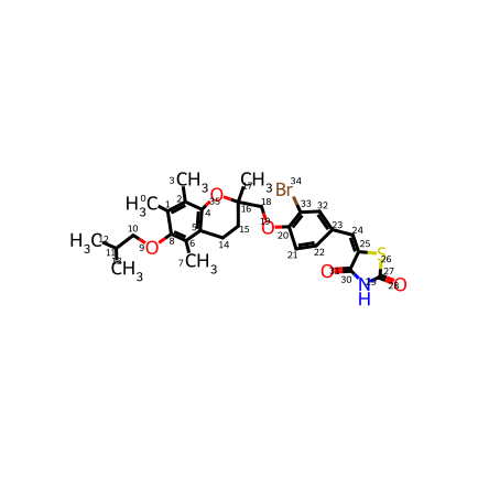 Cc1c(C)c2c(c(C)c1OCC(C)C)CCC(C)(COc1ccc(C=C3SC(=O)NC3=O)cc1Br)O2